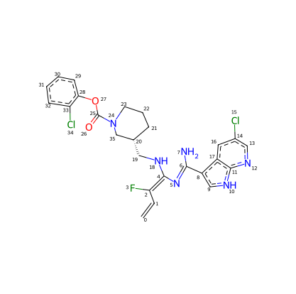 C=C/C(F)=C(\N=C(/N)c1c[nH]c2ncc(Cl)cc12)NC[C@H]1CCCN(C(=O)Oc2ccccc2Cl)C1